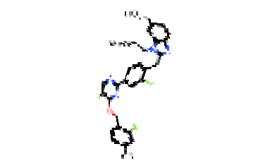 COCCn1c(Cc2ccc(-c3ncc(F)c(OCc4ccc(C#N)cc4F)n3)cc2F)nc2ccc(C(=O)O)cc21